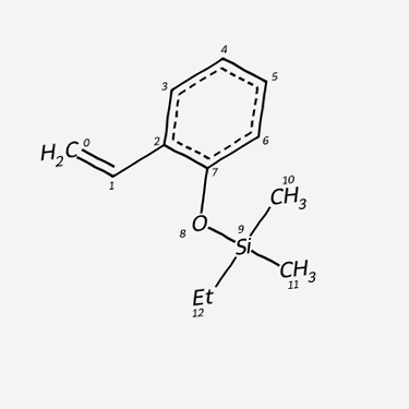 C=Cc1ccccc1O[Si](C)(C)CC